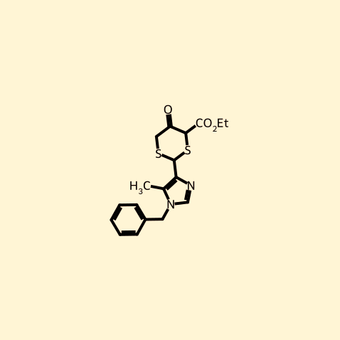 CCOC(=O)C1SC(c2ncn(Cc3ccccc3)c2C)SCC1=O